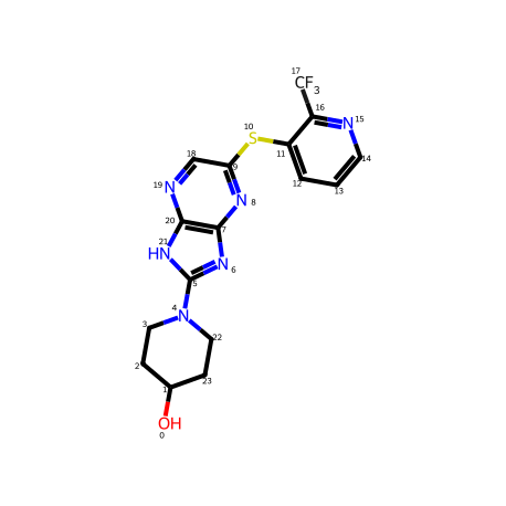 OC1CCN(c2nc3nc(Sc4cccnc4C(F)(F)F)cnc3[nH]2)CC1